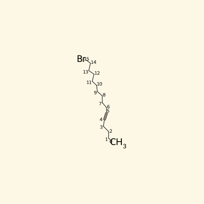 CCCCC#CCCCCCCCCCBr